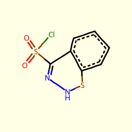 O=S(=O)(Cl)C1=NNSc2ccccc21